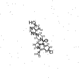 C[C@@H]1C[C@@H](O)c2ncnc(N3CCN(C(=O)[C@@H](c4ccc(Cl)cc4)[C@@H]4CCCN4CC4CC4)CC3)c21